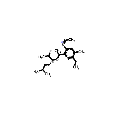 C/C=N\c1cc(C)c(CC)nc1C(C)O[C@H](CCC(C)C)C(C)F